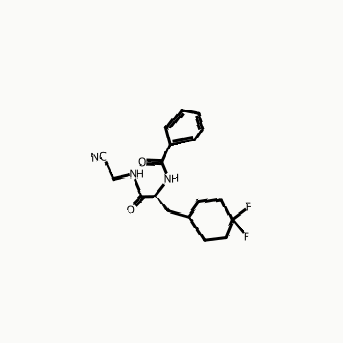 N#CCNC(=O)[C@H](CC1CCC(F)(F)CC1)NC(=O)c1ccccc1